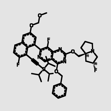 COCOc1cc(-c2ncc3c(OCc4ccccc4)nc(OC[C@@]45CCCN4C[C@H](F)C5)nc3c2F)c2c(C#C[Si](C(C)C)(C(C)C)C(C)C)c(F)ccc2c1